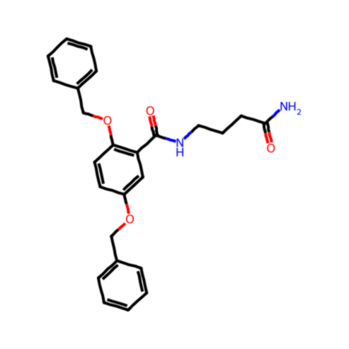 NC(=O)CCCNC(=O)c1cc(OCc2ccccc2)ccc1OCc1ccccc1